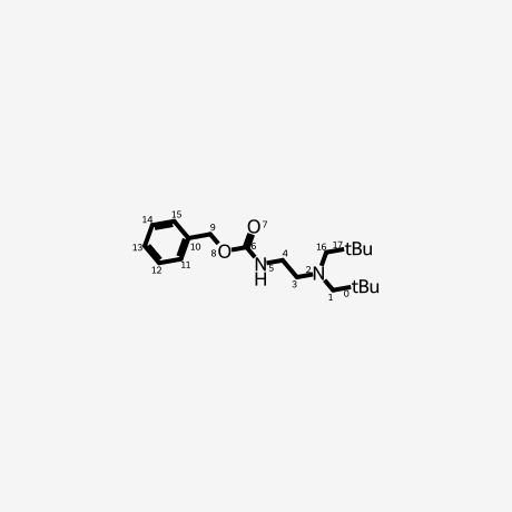 CC(C)(C)CN(CCNC(=O)OCc1ccccc1)CC(C)(C)C